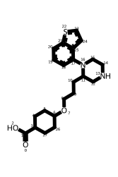 O=C(O)C1CCC(OCCCC2CNCCN2c2cccc3sccc23)CC1